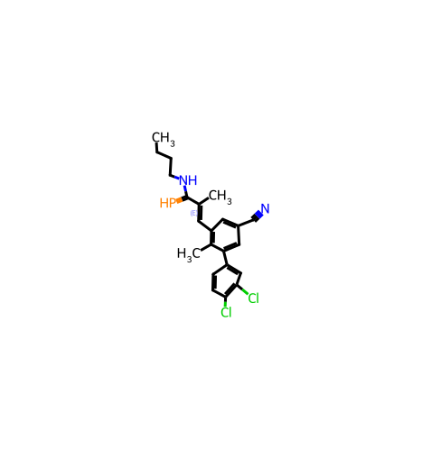 CCCCNC(=P)/C(C)=C/c1cc(C#N)cc(-c2ccc(Cl)c(Cl)c2)c1C